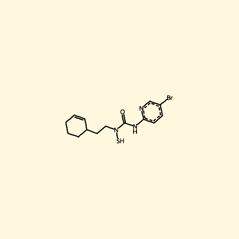 O=C(Nc1ccc(Br)cn1)N(S)CCC1C=CCCC1